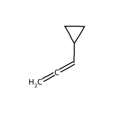 C=C=CC1CC1